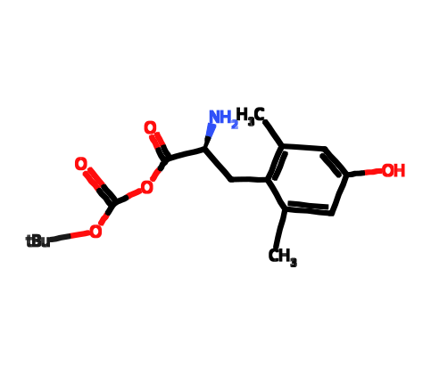 Cc1cc(O)cc(C)c1C[C@H](N)C(=O)OC(=O)OC(C)(C)C